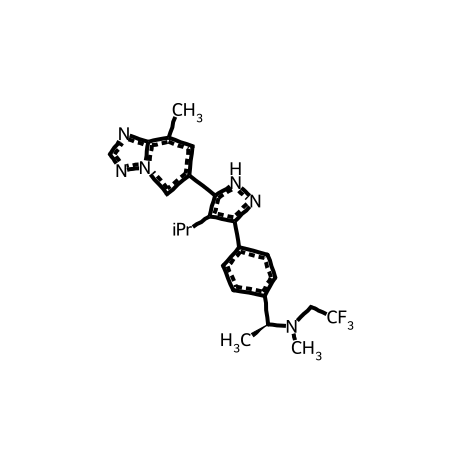 Cc1cc(-c2[nH]nc(-c3ccc([C@H](C)N(C)CC(F)(F)F)cc3)c2C(C)C)cn2ncnc12